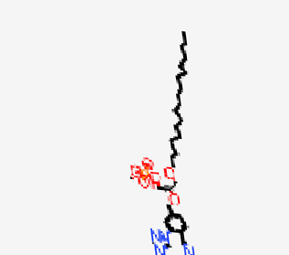 CCCCCCCCCCCCCCCCCCOC[C@H](COP(=O)(O)OC)OCc1ccc(C#N)c(-n2cncn2)c1